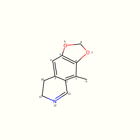 Cc1c2c(cc3c1OCO3)CCN=C2